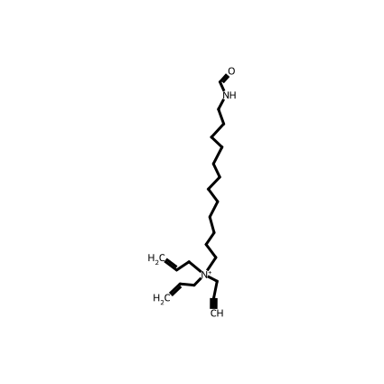 C#CC[N+](CC=C)(CC=C)CCCCCCCCCCCCNC=O